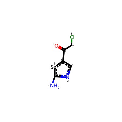 Nc1ncc(C(=O)CCl)[se]1